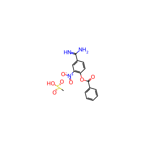 CS(=O)(=O)O.N=C(N)c1ccc(OC(=O)c2ccccc2)c([N+](=O)[O-])c1